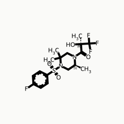 C[C@H]1CN(S(=O)(=O)c2ccc(F)cc2)C(C)(C)CN1C(=O)[C@@](C)(O)C(F)(F)F